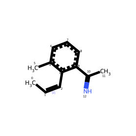 C/C=C\c1c(C)cccc1C(C)=N